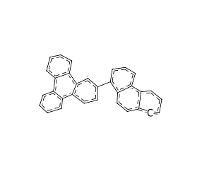 [c]1c(-c2cccc3c2ccc2ccccc23)ccc2c1c1ccccc1c1ccccc21